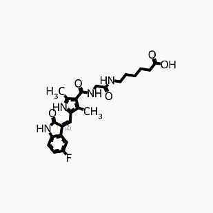 Cc1[nH]c(/C=C2\C(=O)Nc3ccc(F)cc32)c(C)c1C(=O)NCC(=O)NCCCCCC(=O)O